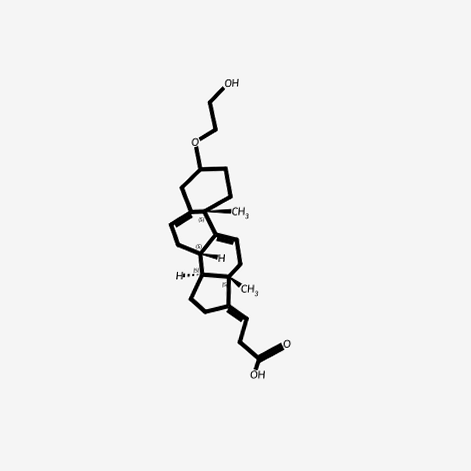 C[C@]12CCC(OCCO)CC1=CC[C@@H]1C2=CC[C@]2(C)C(=CCC(=O)O)CC[C@@H]12